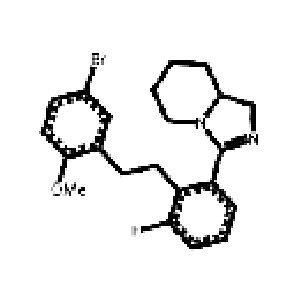 COc1ccc(Br)cc1CCc1c(F)cccc1C1=NCC2CCCCN12